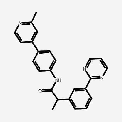 Cc1cc(-c2ccc(NC(=O)C(C)c3cccc(-c4ncccn4)c3)cc2)ccn1